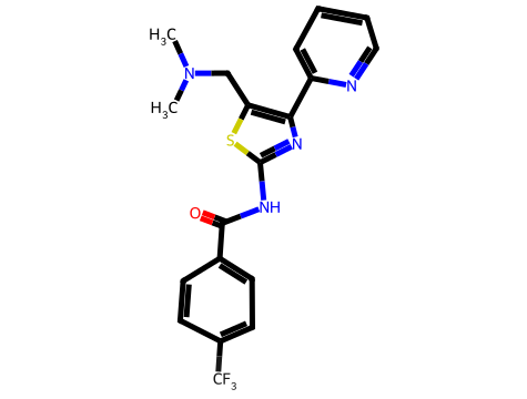 CN(C)Cc1sc(NC(=O)c2ccc(C(F)(F)F)cc2)nc1-c1ccccn1